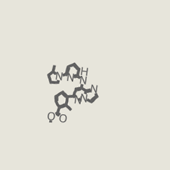 COC(=O)c1cccc(-c2cc(Nc3cccc(N4CCCC4C)n3)c3nccn3n2)c1C